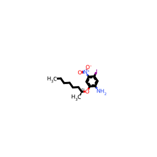 CCCCCC[C@H](C)Oc1cc([N+](=O)[O-])c(I)cc1N